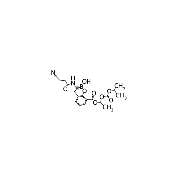 CC(C)OC(=O)OC(C)OC(=O)c1cccc2c1OB(O)[C@@H](NC(=O)CCC#N)C2